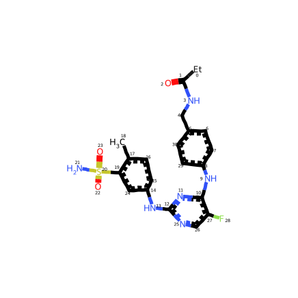 CCC(=O)NCc1ccc(Nc2nc(Nc3ccc(C)c(S(N)(=O)=O)c3)ncc2F)cc1